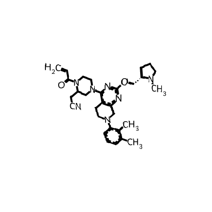 C=CC(=O)N1CCN(c2nc(OC[C@@H]3CCCN3C)nc3c2CCN(c2cccc(C)c2C)C3)CC1CC#N